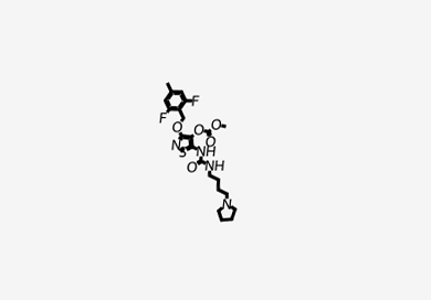 COC(=O)Oc1c(OCc2c(F)cc(C)cc2F)nsc1NC(=O)NCCCCN1CCCC1